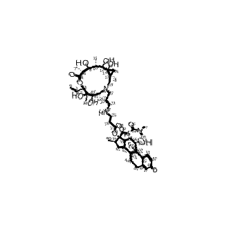 CC[C@H]1OC(=O)[C@H](C)[C@@H](O)[C@H](C)[C@@H](O)[C@]2(O)C[C@@]2(C)CN(CCCNCCC(=O)O[C@]2(C(=O)SC(=O)N(C)C)[C@H](C)CC3C4CCC5=CC(=O)C=C[C@]5(C)[C@@]4(F)[C@@H](O)C[C@@]32C)[C@H](C)[C@@H](O)[C@]1(C)O